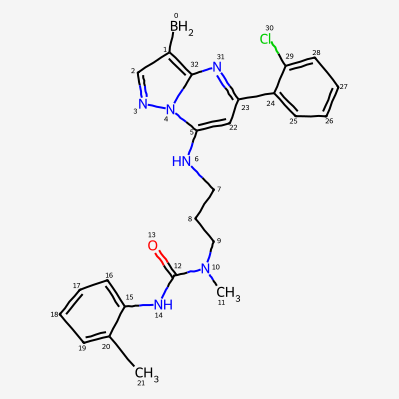 Bc1cnn2c(NCCCN(C)C(=O)Nc3ccccc3C)cc(-c3ccccc3Cl)nc12